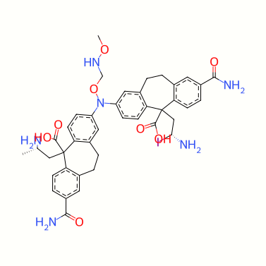 CONCON(c1ccc2c(c1)CCc1cc(C(N)=O)ccc1C2(C[C@H](C)N)C(=O)O)c1ccc2c(c1)CCc1cc(C(N)=O)ccc1C2(C[C@H](N)I)C(=O)O